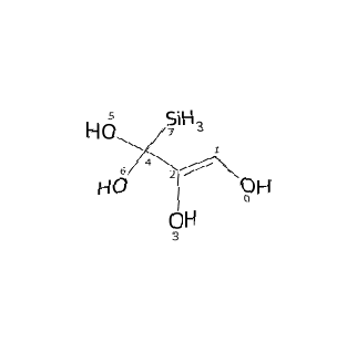 OC=C(O)C(O)(O)[SiH3]